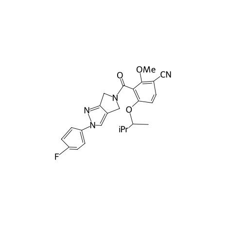 COc1c(C#N)ccc(OC(C)C(C)C)c1C(=O)N1Cc2cn(-c3ccc(F)cc3)nc2C1